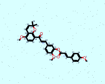 COc1ccc(/C=C/C(=O)Oc2cc(/C=C/C(=O)c3ccc(OC)c4c3OC(C)(C)C=C4)ccc2OC)cc1